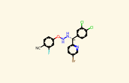 N#Cc1ccc(ONN[C@H](c2ccc(Cl)c(Cl)c2)c2ccc(Br)cn2)cc1F